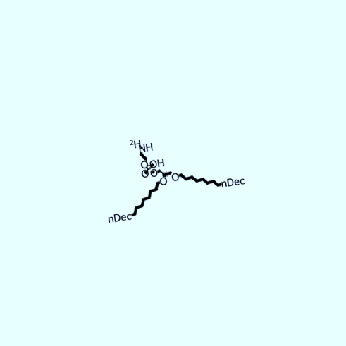 [2H]NCCOP(=O)(O)OC[C@@H](COCCCCCCCCCCCCCCCCCC)OCCCCCCCCCCCCCCCCCC